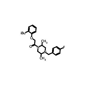 CCC(C)c1ccccc1OCC(=O)N1CC(C)N(Cc2ccc(F)cc2)CC1C